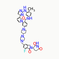 Cc1ccc(NC(=O)c2ccc(N3CCC(N4CCN(Cc5cc(F)c6c(c5)CN(C5CCC(=O)NC5=O)C6=O)CC4)CC3)cc2)cc1Nc1nccc(-c2cccnc2)n1